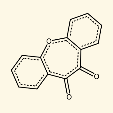 O=c1c(=O)c2ccccc2oc2ccccc12